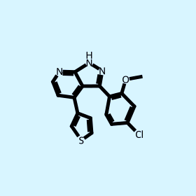 COc1cc(Cl)ccc1-c1n[nH]c2nccc(-c3ccsc3)c12